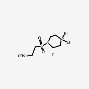 CCCCCCCCCCCS(=O)(=O)N1CC[N+](CC)(CC)CC1.[I-]